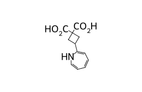 O=C(O)C1(C(=O)O)CC(C2=CC=CC=CN2)C1